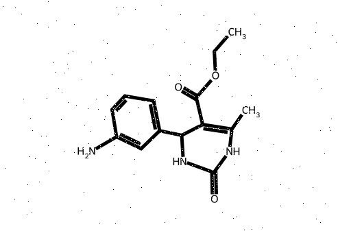 CCOC(=O)C1=C(C)NC(=O)NC1c1cccc(N)c1